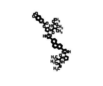 COC(=O)NC(C(=O)N1CCC[C@H]1c1nc(-c2ccc3c(ccc4cc(-c5c[nH]c([C@@H]6CC(OC(=O)N7Cc8cc9c(cc8C7)OCO9)CN6C(=O)[C@@H](NC(=O)OC)C(C)C)n5)ccc43)c2)c[nH]1)C(C)C